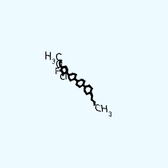 CCCCCC1CCC(C2CCC(C3CC=C(c4ccc(OCC)c(F)c4Cl)CC3)CC2)CC1